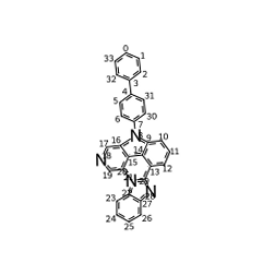 c1ccc(-c2ccc(-n3c4cccc5c4c4c3cncc4n3c4ccccc4nc53)cc2)cc1